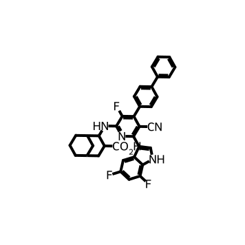 N#Cc1c(-c2c[nH]c3c(F)cc(F)cc23)nc(NC2C3CCCC(C3)CC2C(=O)O)c(F)c1-c1ccc(-c2ccccc2)cc1